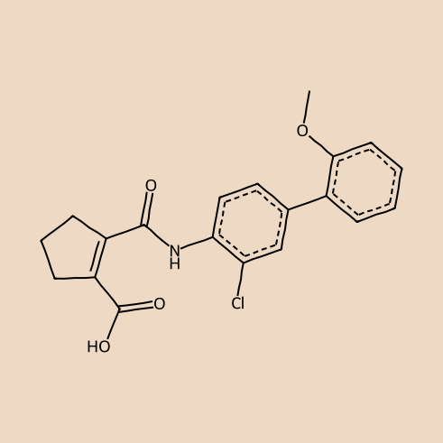 COc1ccccc1-c1ccc(NC(=O)C2=C(C(=O)O)CCC2)c(Cl)c1